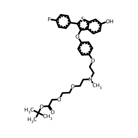 CN(CCOCCOCC(=O)OC(C)(C)C)CCOc1ccc(Oc2c(-c3ccc(F)cc3)sc3cc(O)ccc23)cc1